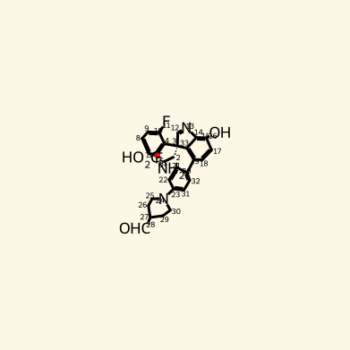 N[C@@H](C[C@]1(c2c(F)cccc2F)C=Nc2c(O)ccc(-c3ccc(N4CCC(C=O)CC4)cc3)c21)C(=O)O